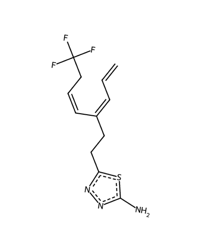 C=C/C=C(\C=C/CC(F)(F)F)CCc1nnc(N)s1